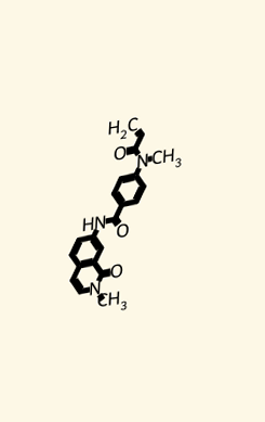 C=CC(=O)N(C)c1ccc(C(=O)Nc2ccc3ccn(C)c(=O)c3c2)cc1